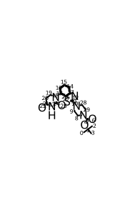 CC(C)(C)OC(=O)N1CCN(c2nc3cccc(N4CCC(=O)NC4=O)c3s2)CC1